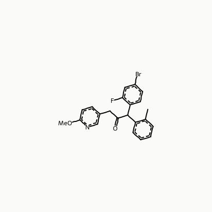 COc1ccc(CC(=O)C(c2ccccc2C)c2ccc(Br)cc2F)cn1